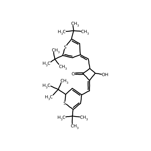 CC(C)(C)C1=CC(=CC2C(=O)C(=CC3=CC(C(C)(C)C)SC(C(C)(C)C)=C3)C2O)C=C(C(C)(C)C)S1